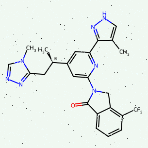 Cc1c[nH]nc1-c1cc([C@H](C)Cc2nncn2C)cc(N2Cc3c(cccc3C(F)(F)F)C2=O)n1